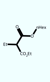 CCCCCCOC(=O)C(CC)C(=O)OCC